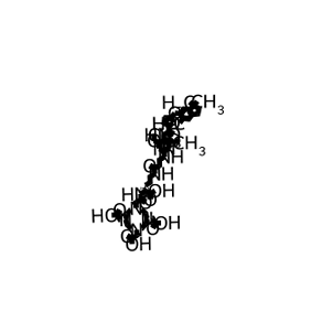 COc1nc(NCCC(=O)NCCC[C@@H](NC(=O)CN2CCN(CC(=O)O)CCN(CC(=O)O)CCN(CC(=O)O)CC2)C(=O)O)nc(OC)c1NC(=O)c1ccc(Oc2cc3c(cc2C)CCC3(C)C)o1